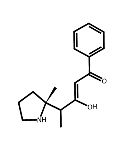 CC(/C(O)=C/C(=O)c1ccccc1)[C@@]1(C)CCCN1